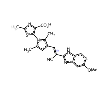 COc1cc2nc(/C(C#N)=C/c3cc(C)n(-c4sc(C)nc4C(=O)O)c3C)[nH]c2cn1